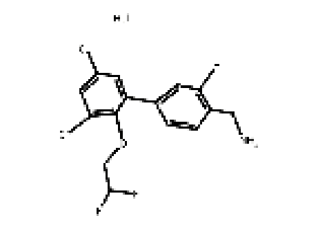 Cl.NCc1ccc(-c2cc(Cl)cc(Cl)c2OCC(F)F)cc1F